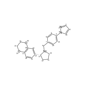 c1cnn(-c2ccc(CN3CCC[C@@H]3c3ccc4c(c3)OCCO4)cc2)c1